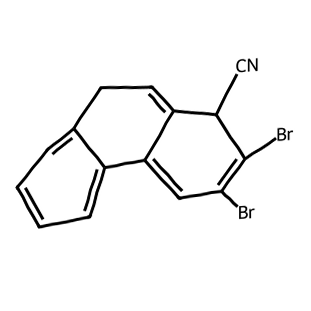 N#CC1C2=CCc3ccccc3C2=CC(Br)=C1Br